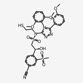 COc1cccc(-c2nnc(N(CCS)S(=O)(=O)C[C@@H](O)c3ccc(C#N)cc3S(C)(=O)=O)n2-c2c(OC)cccc2OC)n1